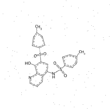 Cc1ccc(S(=O)(=O)Nc2cc(S(=O)(=O)c3ccc(C)cc3)c(O)c3ncccc23)cc1